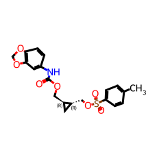 Cc1ccc(S(=O)(=O)OC[C@@H]2C[C@H]2COC(=O)Nc2ccc3c(c2)OCO3)cc1